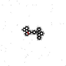 c1ccc(-c2cccc3cccc(-c4cccc(-c5ccc(N(c6ccccc6)c6cc7ccccc7c7ccccc67)cc5)c4)c23)cc1